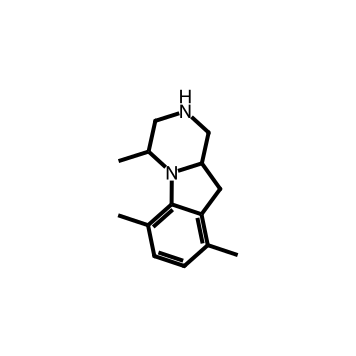 Cc1ccc(C)c2c1CC1CNCC(C)N21